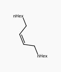 CCCCCCC/C=C\CCCCCCC